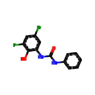 O=C(Nc1ccccc1)Nc1cc(Br)cc(F)c1O